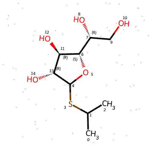 CC(C)SC1O[C@@H]([C@H](O)CO)[C@H](O)[C@H]1O